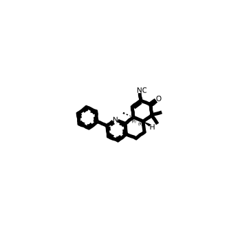 [C-]#[N+]C1=C[C@]2(C)c3nc(-c4ccccc4)ccc3CC[C@H]2C(C)(C)C1=O